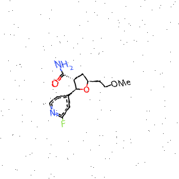 COCC[C@@H]1C[C@@H](C(N)=O)[C@H](c2ccnc(F)c2)O1